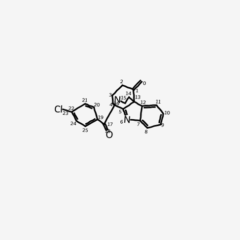 C=C1CCC2C3=Nc4ccccc4C13CCN2C(=O)c1ccc(Cl)cc1